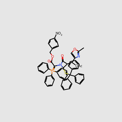 CC(=O)OC(c1coc(C)n1)C1C(=O)N(C(C(=O)OCc2ccc([N+](=O)[O-])cc2)=P(c2ccccc2)(c2ccccc2)c2ccccc2)C1SC(c1ccccc1)(c1ccccc1)c1ccccc1